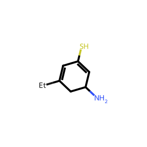 CCC1=CC(S)=CC(N)C1